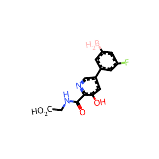 Bc1cc(F)cc(-c2cnc(C(=O)NCC(=O)O)c(O)c2)c1